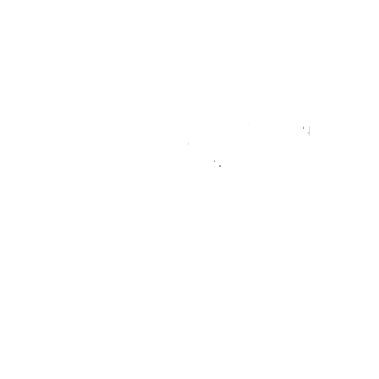 CCC/C(=N\OCCc1ccccc1)c1cc(Cl)ccc1N